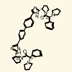 O=C([C@@H](c1ccccc1)N1CCCC1)N1CCC[C@H]1c1ncc(-c2ccc(-c3ccc(-c4cnc([C@@H]5CCCN5C(=O)[C@@H](c5ccccc5)N5CCCC5)[nH]4)cc3)cc2)[nH]1